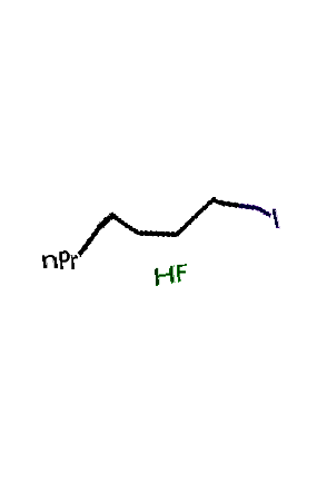 CCCCCCI.F